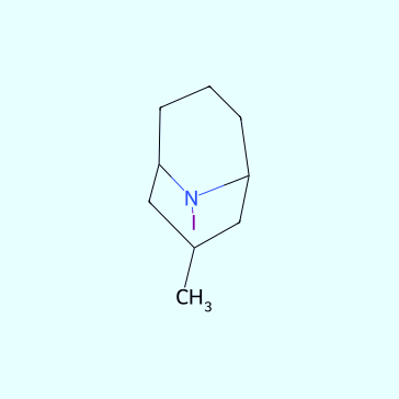 CC1CC2CCCC(C1)N2I